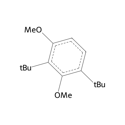 COc1ccc(C(C)(C)C)c(OC)c1C(C)(C)C